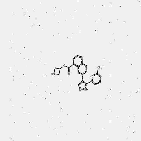 Cc1cccc(-c2[nH]ncc2-c2ccc3nccc(C(=O)OC4CNC4)c3c2)n1